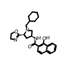 O=C(N[C@H]1C[C@@H](C2=NCCO2)N(CC2CCCCC2)C1)c1ccc2ccccc2c1O